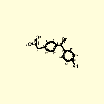 O=[SH](=O)Cc1ccc(C(Br)c2ccc(Cl)cc2)cc1